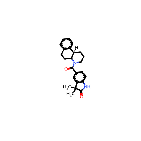 CC1(C)C(=O)Nc2ccc(C(=O)N3CCC[C@@H]4c5ccccc5CCC43)cc21